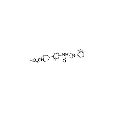 O=C(Nc1ccc(C2CCN(C(=O)O)CC2)nc1)C1CN(c2cccnn2)C1